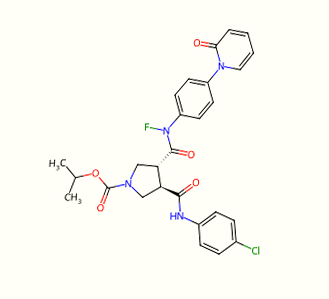 CC(C)OC(=O)N1C[C@H](C(=O)Nc2ccc(Cl)cc2)[C@@H](C(=O)N(F)c2ccc(-n3ccccc3=O)cc2)C1